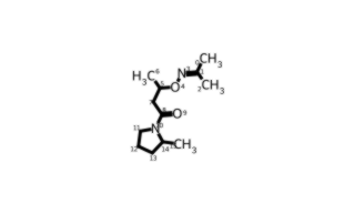 CC(C)=NOC(C)CC(=O)N1CCCC1C